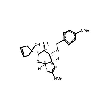 CNC1=N[C@@H]2[C@@H](OCc3ccc(OC)cc3)[C@H](C)[C@@H](C3(O)CC=CC3)O[C@@H]2S1